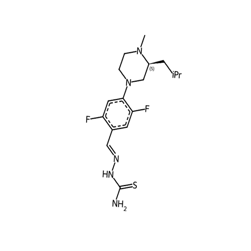 CC(C)C[C@H]1CN(c2cc(F)c(C=NNC(N)=S)cc2F)CCN1C